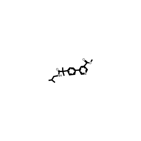 COC(=O)c1cncc(-c2ccc(C(C)(C)C(=O)NCC(C)C)cc2)c1